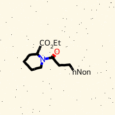 CCCCCCCCCCCC(=O)N1CCCCC1C(=O)OCC